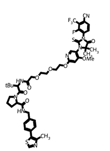 COc1cc(OCCOCCOCC(=O)NC(C(=O)N2CCCC2C(=O)NCc2ccc(-c3scnc3C)cc2)C(C)(C)C)ncc1N1C(=S)N(c2ccc(C#N)c(C(F)(F)F)c2F)C(=O)C1(C)C